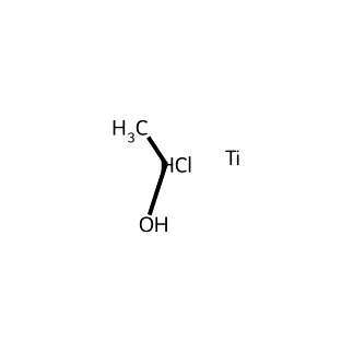 CCO.Cl.[Ti]